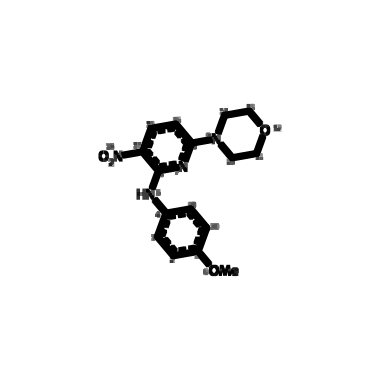 COc1ccc(Nc2nc(N3CCOCC3)ccc2[N+](=O)[O-])cc1